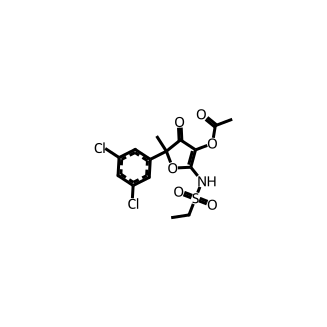 CCS(=O)(=O)NC1=C(OC(C)=O)C(=O)C(C)(c2cc(Cl)cc(Cl)c2)O1